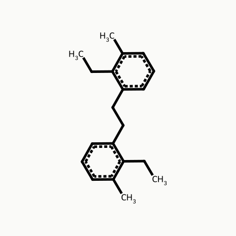 CCc1c(C)cccc1CCc1cccc(C)c1CC